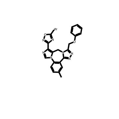 Cc1ccc2c(c1)-c1nnc(COc3ccccc3)n1Cc1c(-c3noc(C(C)C)n3)ncn1-2